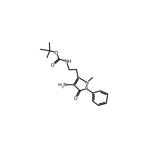 Cn1c(CCNC(=O)OC(C)(C)C)c(N)c(=O)n1-c1ccccc1